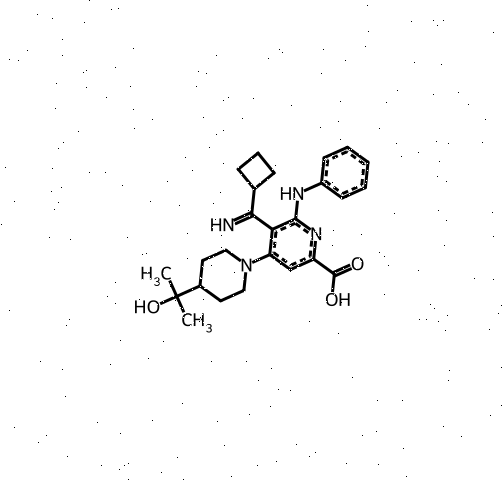 CC(C)(O)C1CCN(c2cc(C(=O)O)nc(Nc3ccccc3)c2C(=N)C2CCC2)CC1